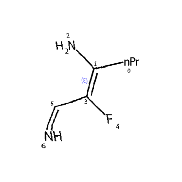 CCC/C(N)=C(\F)C=N